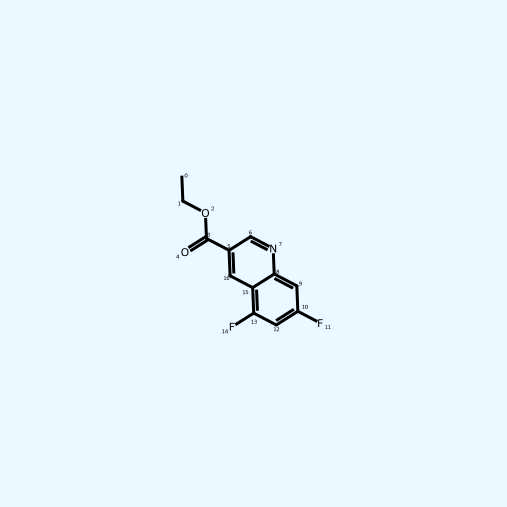 CCOC(=O)c1cnc2cc(F)cc(F)c2c1